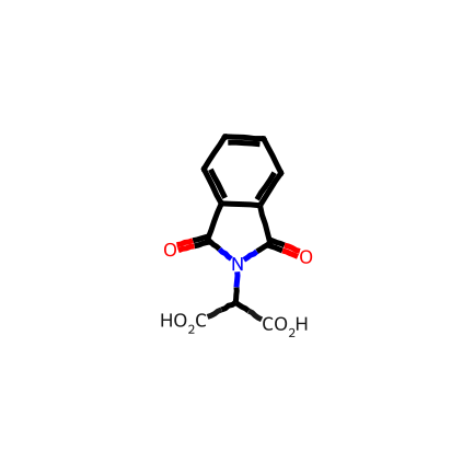 O=C(O)C(C(=O)O)N1C(=O)c2ccccc2C1=O